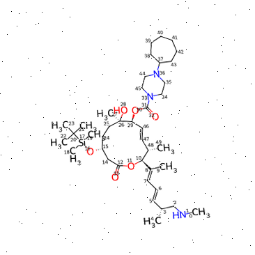 CNC[C@H](C)/C=C/C=C(\C)[C@H]1OC(=O)C[C@H](O[Si](C)(C)C(C)(C)C)CC[C@@](C)(O)[C@@H](OC(=O)N2CCN(C3CCCCCC3)CC2)/C=C/[C@@H]1C